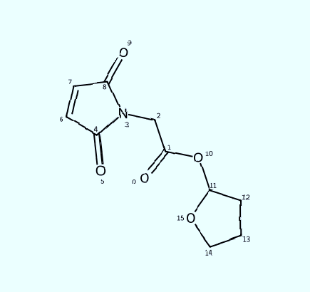 O=C(CN1C(=O)C=CC1=O)OC1CCCO1